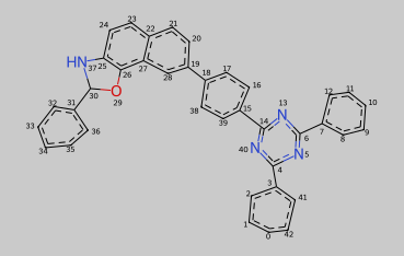 c1ccc(-c2nc(-c3ccccc3)nc(-c3ccc(-c4ccc5ccc6c(c5c4)OC(c4ccccc4)N6)cc3)n2)cc1